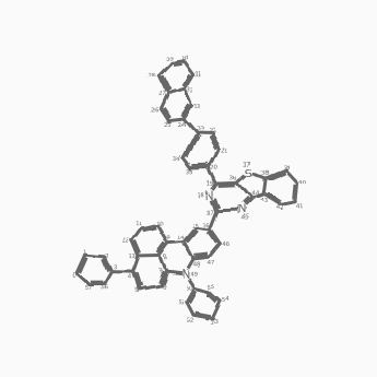 c1ccc(-c2ccc3c4c(cccc24)-c2cc(-c4nc(-c5ccc(-c6ccc7ccccc7c6)cc5)c5sc6ccccc6c5n4)ccc2N3c2ccccc2)cc1